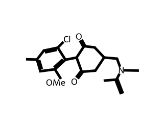 C=C(C)N(C)CC1CC(=O)C(c2c(Cl)cc(C)cc2OC)C(=O)C1